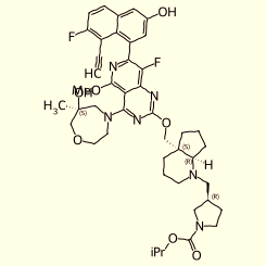 C#Cc1c(F)ccc2cc(O)cc(-c3nc(OC)c4c(N5CCOC[C@@](C)(O)C5)nc(OC[C@]56CCC[C@H]5N(C[C@H]5CCN(C(=O)OC(C)C)C5)CCC6)nc4c3F)c12